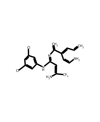 C=C/C=C(\C=C/N)C(=C)/N=C(\C=C(/N)C(F)(F)F)Nc1cc(Cl)cc(Cl)c1